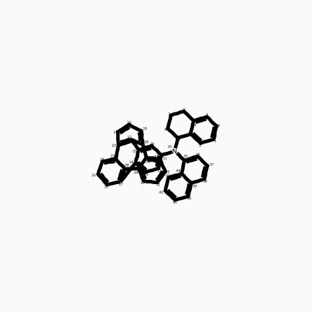 c1ccc2c(c1)CCCC2N(c1ccc2c(c1)-c1c3cccc1-c1cccc-2c1-c1ccccc1-3)c1cccc2ccccc12